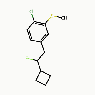 CSc1cc(CC(F)C2CCC2)ccc1Cl